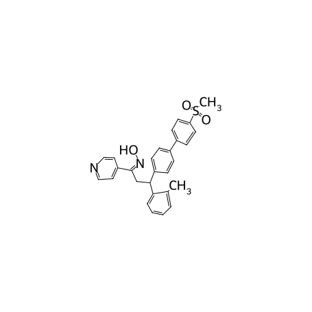 Cc1ccccc1C(CC(=NO)c1ccncc1)c1ccc(-c2ccc(S(C)(=O)=O)cc2)cc1